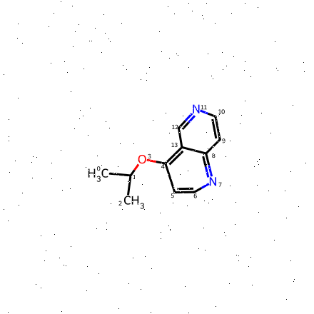 CC(C)Oc1ccnc2ccncc12